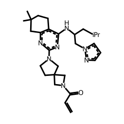 C=CC(=O)N1CC2(CCN(c3nc4c(c(NC(CC(C)C)Cn5cccn5)n3)CCC(C)(C)C4)C2)C1